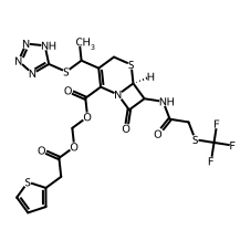 CC(Sc1nnn[nH]1)C1=C(C(=O)OCOC(=O)Cc2cccs2)N2C(=O)C(NC(=O)CSC(F)(F)F)[C@@H]2SC1